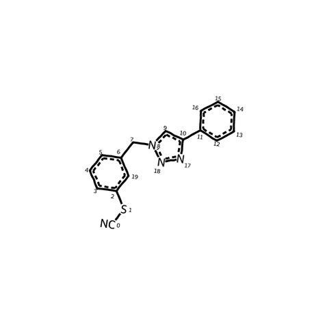 N#CSc1cccc(Cn2cc(-c3ccccc3)nn2)c1